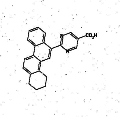 O=C(O)c1cnc(-c2cc3c4c(ccc3c3ccccc23)CCCC4)nc1